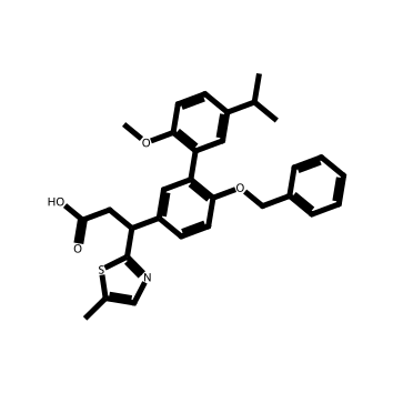 COc1ccc(C(C)C)cc1-c1cc(C(CC(=O)O)c2ncc(C)s2)ccc1OCc1ccccc1